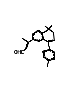 CC(=CC=O)c1ccc2c(c1)C(c1ccc(C)cc1)=CCC2(C)C